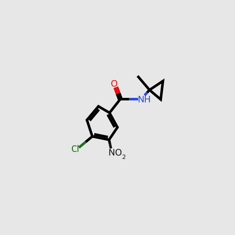 CC1(NC(=O)c2ccc(Cl)c([N+](=O)[O-])c2)CC1